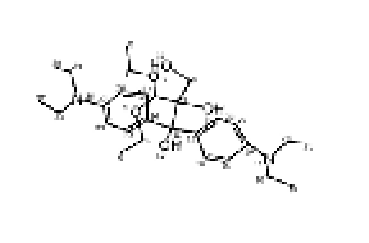 CCOC(OCC)C(O)(CO)C(O)(c1ccc(N(CC)CC)cc1)c1ccc(N(CC)CC)cc1